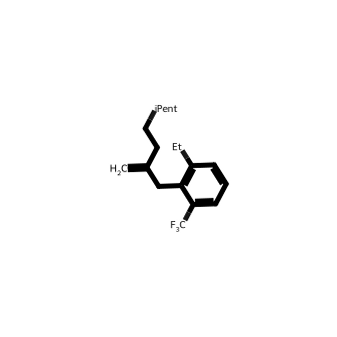 C=C(CCC(C)CCC)Cc1c(CC)cccc1C(F)(F)F